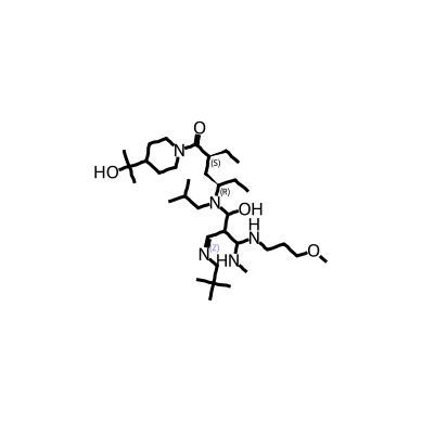 CC[C@@H](C[C@@H](CC)N(CC(C)C)C(O)C(/C=N\CC(C)(C)C)C(NC)NCCCOC)C(=O)N1CCC(C(C)(C)O)CC1